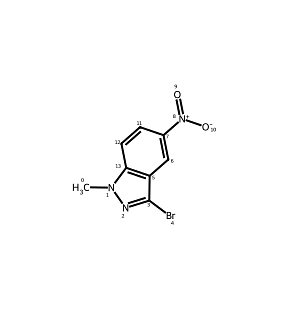 Cn1nc(Br)c2cc([N+](=O)[O-])ccc21